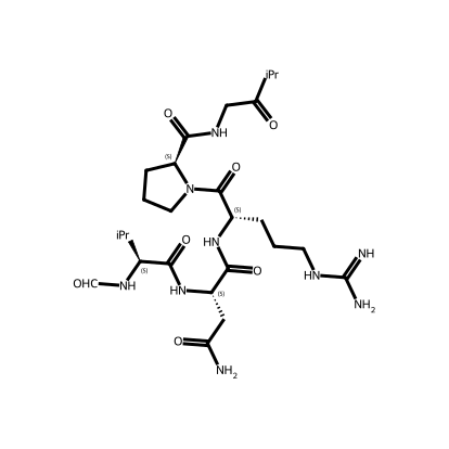 CC(C)C(=O)CNC(=O)[C@@H]1CCCN1C(=O)[C@H](CCCNC(=N)N)NC(=O)[C@H](CC(N)=O)NC(=O)[C@@H](NC=O)C(C)C